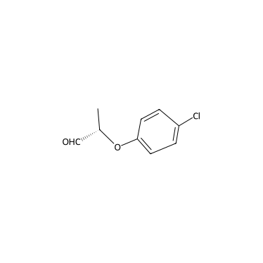 C[C@@H](C=O)Oc1ccc(Cl)cc1